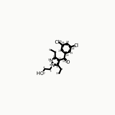 CCc1nn(CCO)c(CC)c1C(=O)c1cc(Cl)cc(Cl)c1